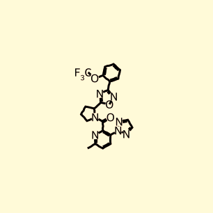 Cc1ccc(-n2nccn2)c(C(=O)N2CCCC2c2nc(-c3ccccc3OC(F)(F)F)no2)n1